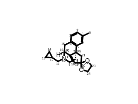 Cc1ccc2c(c1)[C@]13CCN(CC4CC4)[C@H](C2)C1=CCC1(C3)OCCO1